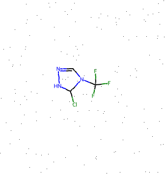 FC(F)(F)N1C=NNC1Cl